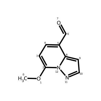 COc1ccc(C=O)c2ccnn12